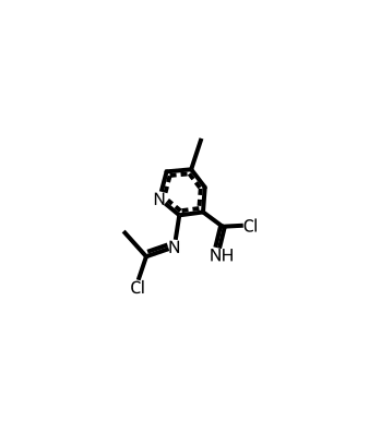 C/C(Cl)=N\c1ncc(C)cc1C(=N)Cl